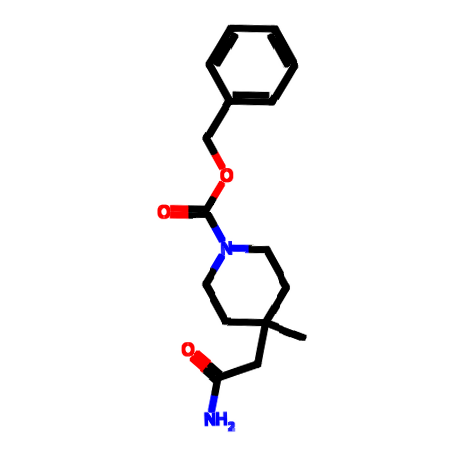 CC1(CC(N)=O)CCN(C(=O)OCc2ccccc2)CC1